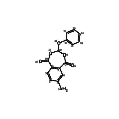 Nc1ccc2c(c1)C(=O)OC(Oc1ccccc1)OC2=O